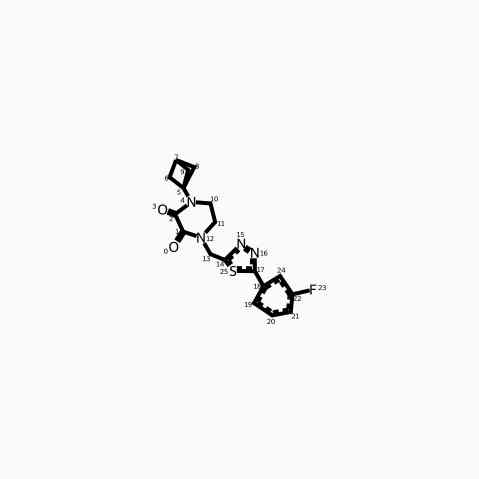 O=C1C(=O)N(C23CC(C2)C3)CCN1Cc1nnc(-c2cccc(F)c2)s1